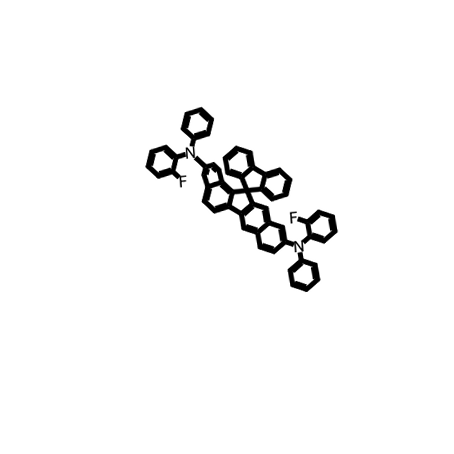 Fc1ccccc1N(c1ccccc1)c1ccc2cc3c(cc2c1)C1(c2ccccc2-c2ccccc21)c1c-3ccc2cc(N(c3ccccc3)c3ccccc3F)ccc12